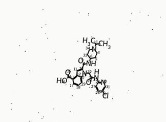 CC(C)N1CCC(NC(=O)c2cc3c(C(=O)O)cccc3n2CC(=O)Nc2ccc(Cl)cn2)CC1